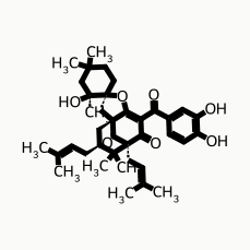 CC(C)=CC[C@H]1C[C@@]23C[C@]4(CCC(C)(C)C[C@]4(C)O)OC2=C(C(=O)c2ccc(O)c(O)c2)C(=O)[C@](CC=C(C)C)(C3=O)C1(C)C